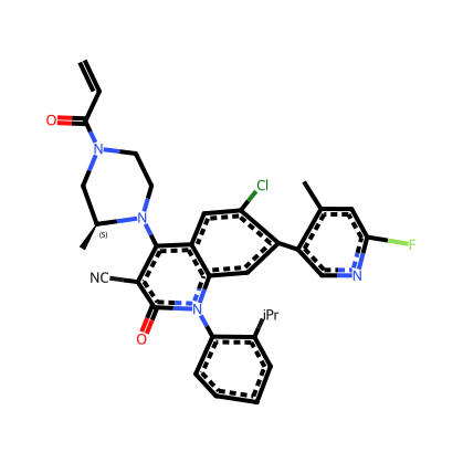 C=CC(=O)N1CCN(c2c(C#N)c(=O)n(-c3ccccc3C(C)C)c3cc(-c4cnc(F)cc4C)c(Cl)cc23)[C@@H](C)C1